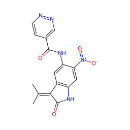 CC(C)=C1C(=O)Nc2cc([N+](=O)[O-])c(NC(=O)c3ccnnc3)cc21